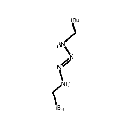 CCC(C)CNN=NNCC(C)CC